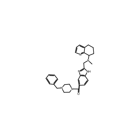 CN(Cc1nc2cc(C(=O)N3CCN(Cc4ccccc4)CC3)ccc2[nH]1)C1CCCc2cccnc21